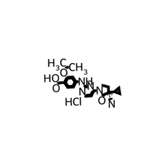 CC(C)Oc1cc(Nc2nccc(N3CC[C@@](C#N)(C4CC4)C3=O)n2)ccc1C(=O)O.Cl